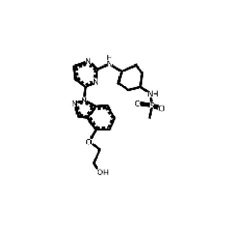 CS(=O)(=O)NC1CCC(Nc2nccc(-n3ncc4c(OCCO)cccc43)n2)CC1